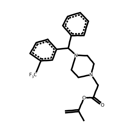 C=C(C)OC(=O)CN1CCN(C(c2ccccc2)c2cccc(C(F)(F)F)c2)CC1